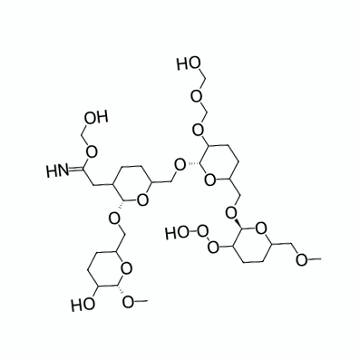 COCC1CCC(OOO)[C@@H](OCC2CCC(OCOCO)[C@@H](OCC3CCC(CC(=N)OCO)[C@@H](OCC4CCC(O)[C@@H](OC)O4)O3)O2)O1